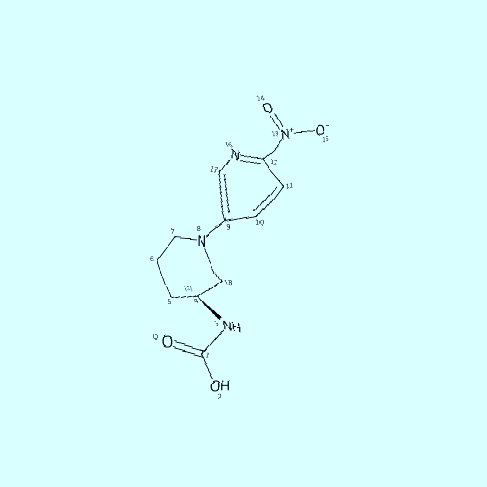 O=C(O)N[C@H]1CCCN(c2ccc([N+](=O)[O-])nc2)C1